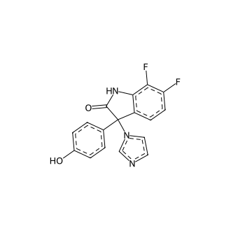 O=C1Nc2c(ccc(F)c2F)C1(c1ccc(O)cc1)n1ccnc1